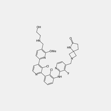 COc1nc(-c2ccnc(-c3cccc(Nc4nccc(CN5CC6(CCC(=O)N6)C5)c4F)c3Cl)c2Cl)ccc1CNCCO